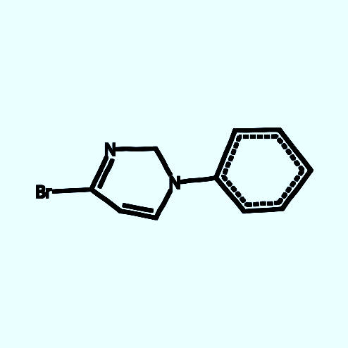 BrC1=NCN(c2ccccc2)C=C1